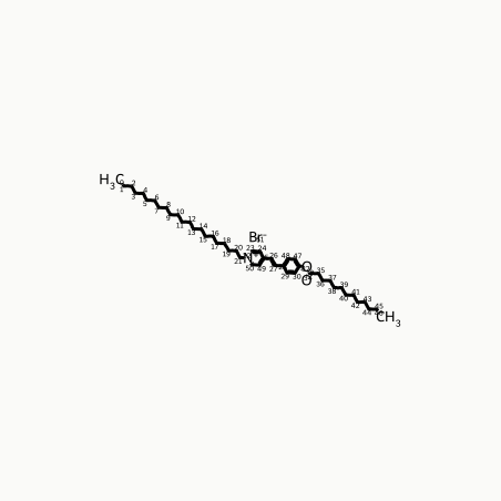 CCCCCCCCCCCCCCCCCCCCCC[n+]1ccc(/C=C/c2ccc(OC(=O)CCCCCCCCCCCC)cc2)cc1.[Br-]